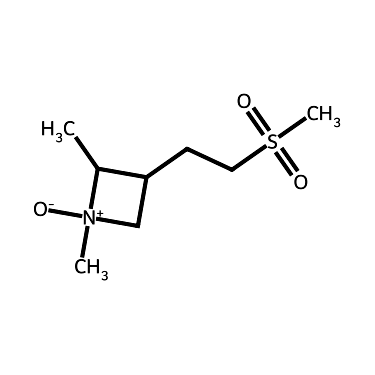 CC1C(CCS(C)(=O)=O)C[N+]1(C)[O-]